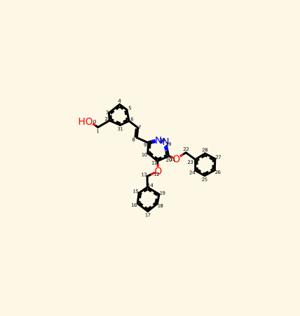 OCc1cccc(/C=C/c2cc(OCc3ccccc3)c(OCc3ccccc3)nn2)c1